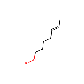 CC=CCCCCOO